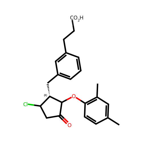 Cc1ccc(OC2C(=O)CC(Cl)[C@@H]2Cc2cccc(CCC(=O)O)c2)c(C)c1